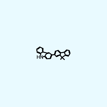 CC1(C)c2ccccc2-c2ccc(-c3ccc4[nH]c5ccccc5c4c3)cc21